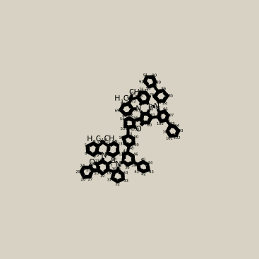 CC1(C)c2ccccc2N2c3c(cccc31)B1c3c(cc4c(oc5ccccc54)c32)-c2ccccc2N1c1cc(-c2ccccc2)cc(-c2ccc(-c3cccc4c3oc3cc5c6c(c34)N3c4ccccc4C(C)(C)c4cccc(c43)B6N(c3cccc(-c4ccccc4)c3)c3ccc(-c4ccccc4)cc3-5)cc2)c1